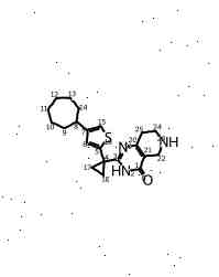 O=c1[nH]c(C2(c3cc(C4CCCCCC4)cs3)CC2)nc2c1CNCC2